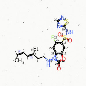 C/C=C\C=C(/CC)CCNn1c(=O)oc2cc(S(=O)(=O)Nc3ncns3)c(F)cc21